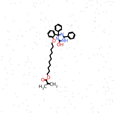 C=C(C)C(=O)OCCCCCCCCCCCOc1ccccc1C1(c2ccccc2)N=C(O)NC(c2ccccc2)=N1